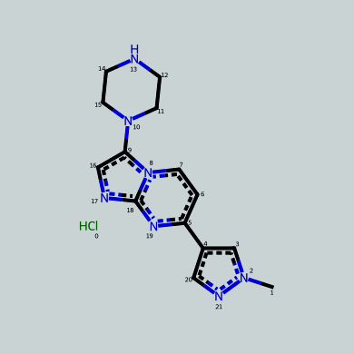 Cl.Cn1cc(-c2ccn3c(N4CCNCC4)cnc3n2)cn1